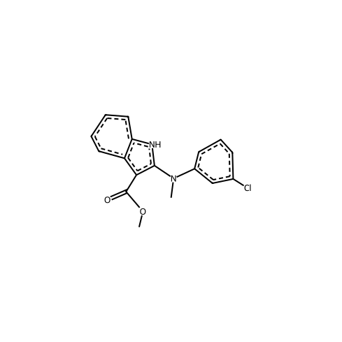 COC(=O)c1c(N(C)c2cccc(Cl)c2)[nH]c2ccccc12